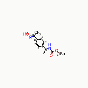 CC(NC(=O)OC(C)(C)C)c1ccc(/C(=N/O)C(F)(F)F)cc1